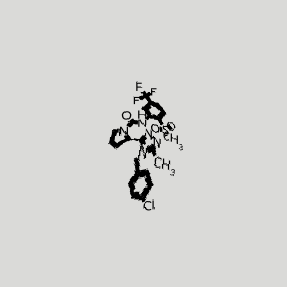 Cc1nnc([C@H]2CCCN2C(=O)Nc2cc(C(F)(F)F)ccc2S(C)(=O)=O)n1Cc1ccc(Cl)cc1